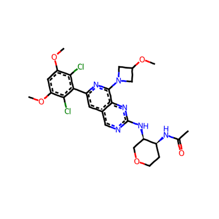 COc1cc(OC)c(Cl)c(-c2cc3cnc(N[C@@H]4COCC[C@@H]4NC(C)=O)nc3c(N3CC(OC)C3)n2)c1Cl